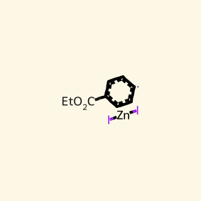 CCOC(=O)c1cc[c]cc1.[I][Zn][I]